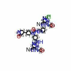 Cn1ccc(-c2ccc(N(C(=O)NCc3ccccc3)[C@H]3CC[C@H](Nc4ncc(C#N)c(NC5COC5)n4)CC3)cc2)cc1=O.N#Cc1cnc(Cl)nc1NC1COC1